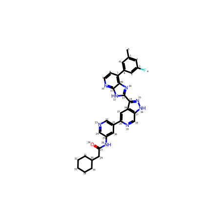 Cc1cc(F)cc(-c2ccnc3[nH]c(-c4n[nH]c5cnc(-c6cncc(NC(=O)CC7CCCCC7)c6)cc45)nc23)c1